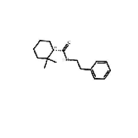 CC1(C)CCCC[C@@H]1C(=O)NCCc1ccccc1